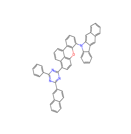 c1ccc(-c2nc(-c3ccc4ccccc4c3)nc(-c3ccc4c5c(cccc35)-c3cccc(-n5c6ccccc6c6cc7ccccc7cc65)c3O4)n2)cc1